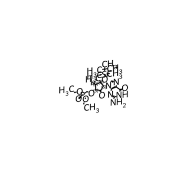 CCOP(=O)(CO[C@H]1C(=O)[C@@H](n2cnc3c(=O)[nH]c(N)nc32)[C@](C)(O[Si](C)(C)C(C)(C)C)[C@@H]1I)OCC